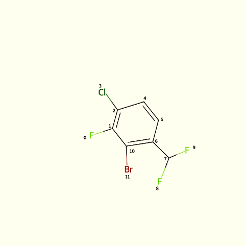 Fc1c(Cl)ccc(C(F)F)c1Br